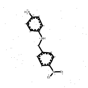 CCN(CC)c1ccc(CNc2ccc(N)cc2)cc1